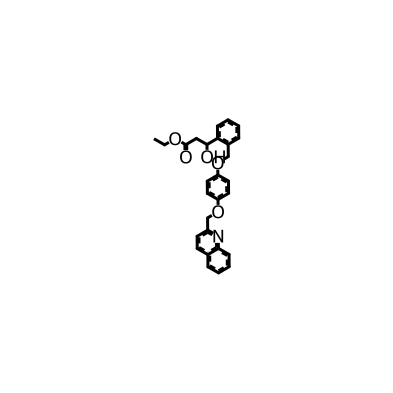 CCOC(=O)CC(O)c1ccccc1COc1ccc(OCc2ccc3ccccc3n2)cc1